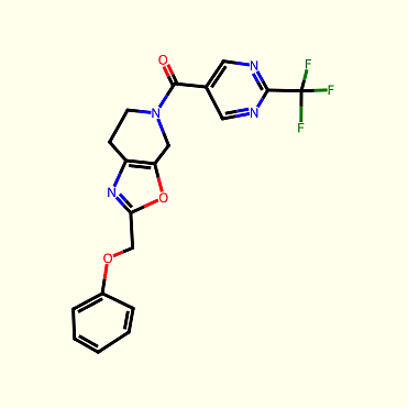 O=C(c1cnc(C(F)(F)F)nc1)N1CCc2nc(COc3ccccc3)oc2C1